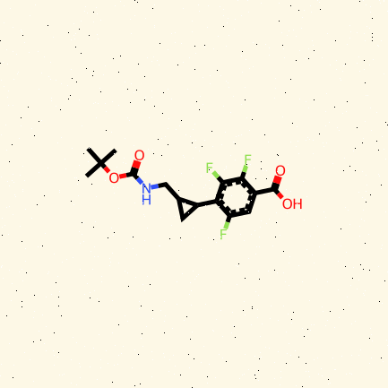 CC(C)(C)OC(=O)NCC1CC1c1c(F)cc(C(=O)O)c(F)c1F